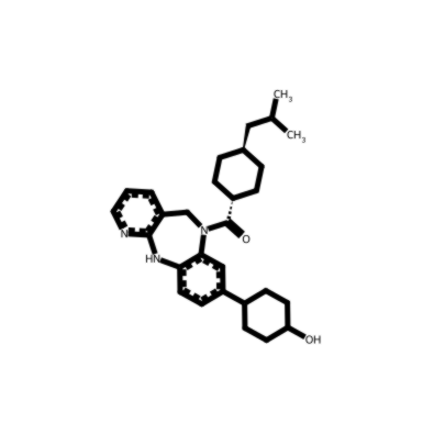 CC(C)C[C@H]1CC[C@H](C(=O)N2Cc3cccnc3Nc3ccc(C4CCC(O)CC4)cc32)CC1